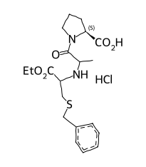 CCOC(=O)C(CSCc1ccccc1)NC(C)C(=O)N1CCC[C@H]1C(=O)O.Cl